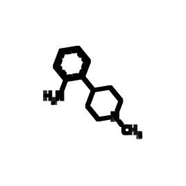 CN1CCC(c2ccccc2N)CC1